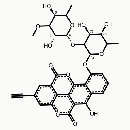 C#Cc1cc2oc(=O)c3c(O)c4cccc(O[C@@H]5OC(C)[C@H](O)[C@H](O)C5O[C@H]5OC(C)[C@H](O)C(OC)[C@H]5O)c4c4oc(=O)c(c1)c2c34